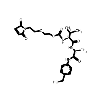 CC(C)[C@H](NC(=O)OCCOCCN1C(=O)C=CC1=O)C(=O)N[C@@H](C)C(=O)Nc1ccc(CO)cc1